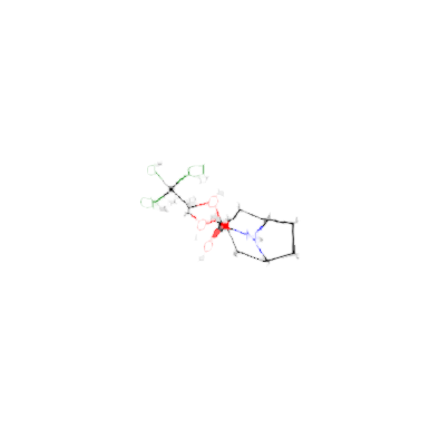 COC1CC2CCC(C1)N2C(=O)OCC(Cl)(Cl)Cl